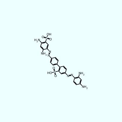 Nc1ccc(N=Nc2ccc(-c3ccc(N=Nc4cc(S(=O)(=O)O)c(N)cc4N)cc3)c(S(=O)(=O)O)c2)c(N)c1